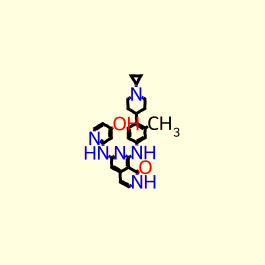 Cc1cc(Nc2nc(Nc3cc(O)ccn3)cc3cc[nH]c(=O)c23)ccc1C1CCN(C2CC2)CC1